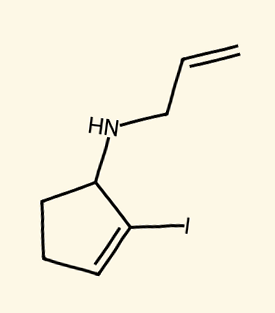 C=CCNC1CCC=C1I